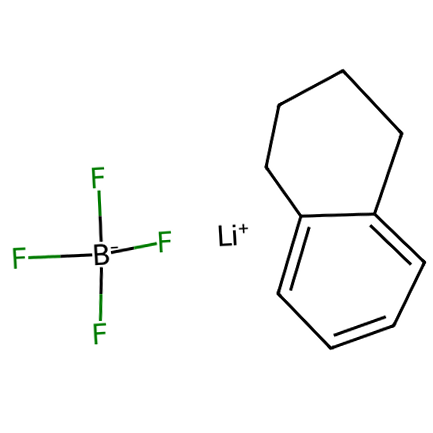 F[B-](F)(F)F.[Li+].c1ccc2c(c1)CCCC2